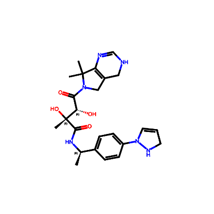 C[C@@H](NC(=O)[C@](C)(O)[C@@H](O)C(=O)N1CC2=C(N=CNC2)C1(C)C)c1ccc(N2C=CCN2)cc1